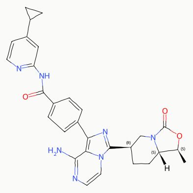 C[C@@H]1OC(=O)N2C[C@H](c3nc(-c4ccc(C(=O)Nc5cc(C6CC6)ccn5)cc4)c4c(N)nccn34)CC[C@@H]12